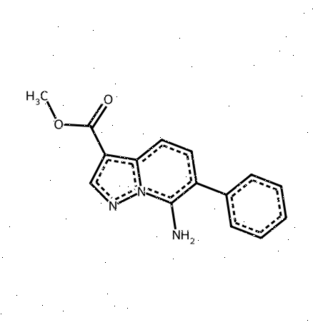 COC(=O)c1cnn2c(N)c(-c3ccccc3)ccc12